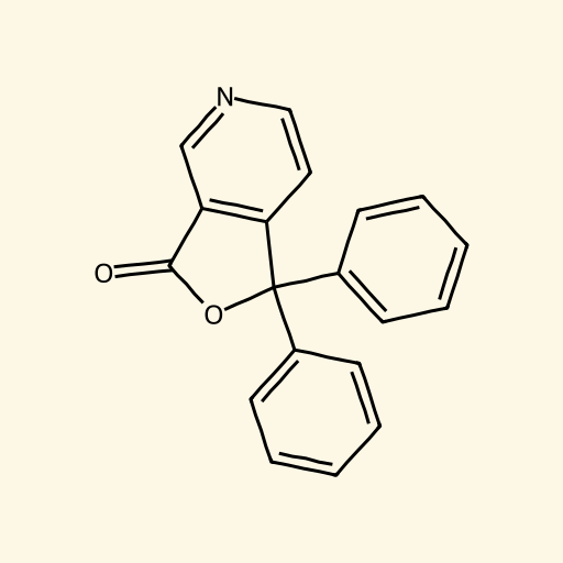 O=C1OC(c2ccccc2)(c2ccccc2)c2ccncc21